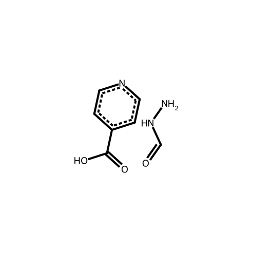 NNC=O.O=C(O)c1ccncc1